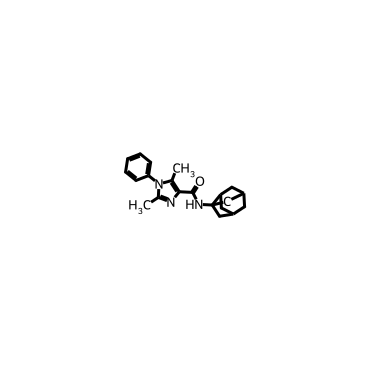 Cc1nc(C(=O)NC23CC4CC(CC2C4)C3)c(C)n1-c1ccccc1